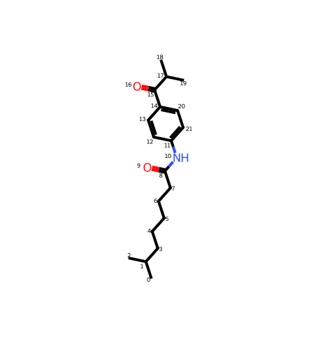 CC(C)CCCCCC(=O)Nc1ccc(C(=O)C(C)C)cc1